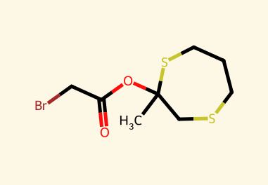 CC1(OC(=O)CBr)CSCCCS1